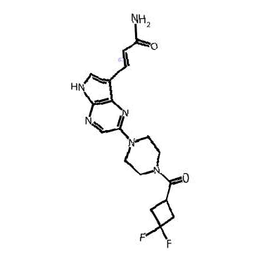 NC(=O)/C=C/c1c[nH]c2ncc(N3CCN(C(=O)C4CC(F)(F)C4)CC3)nc12